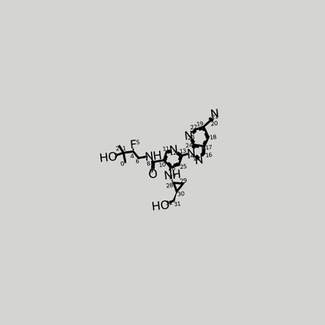 CC(C)(O)[C@H](F)CNC(=O)c1cnc(-n2ncc3cc(C#N)cnc32)cc1N[C@@H]1C[C@H]1CO